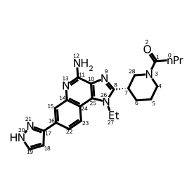 CCCC(=O)N1CCC[C@H](c2nc3c(N)nc4cc(-c5cc[nH]n5)ccc4c3n2CC)C1